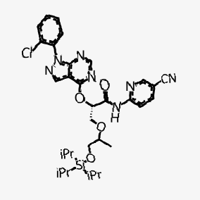 CC(CO[Si](C(C)C)(C(C)C)C(C)C)OC[C@H](Oc1ncnc2c1cnn2-c1ccccc1Cl)C(=O)Nc1ccc(C#N)cn1